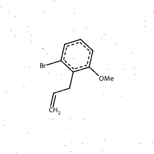 C=CCc1c(Br)cccc1OC